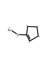 CC(=O)OC1=[C]CCC1